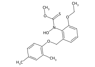 CCOc1cccc(COc2ccc(C)cc2C)c1N(O)C(=S)OC